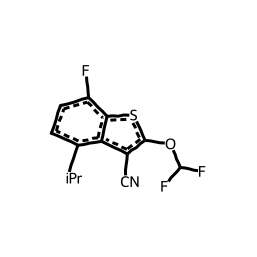 CC(C)c1ccc(F)c2sc(OC(F)F)c(C#N)c12